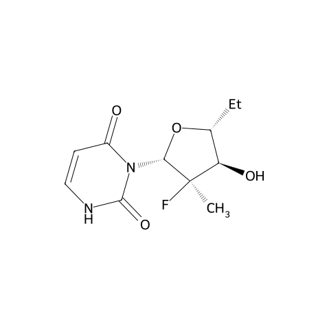 [CH2]C[C@H]1O[C@@H](n2c(=O)cc[nH]c2=O)[C@](C)(F)[C@@H]1O